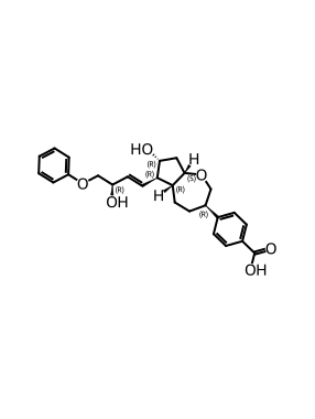 O=C(O)c1ccc([C@H]2CC[C@@H]3[C@@H](C=C[C@@H](O)COc4ccccc4)[C@H](O)C[C@@H]3OC2)cc1